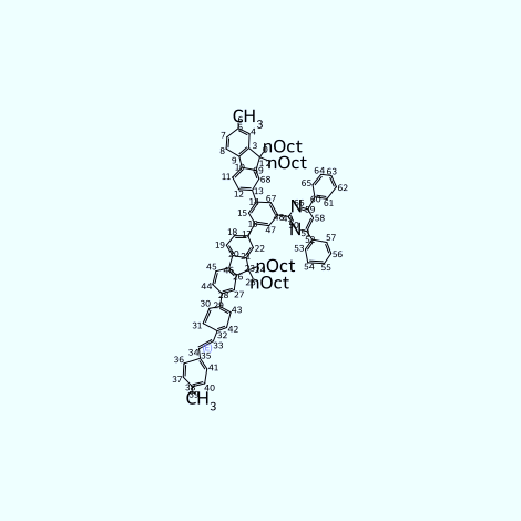 CCCCCCCCC1(CCCCCCCC)c2cc(C)ccc2-c2ccc(-c3cc(-c4ccc5c(c4)C(CCCCCCCC)(CCCCCCCC)c4cc(-c6ccc(/C=C/c7ccc(C)cc7)cc6)ccc4-5)cc(-c4nc(-c5ccccc5)cc(-c5ccccc5)n4)c3)cc21